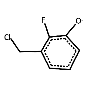 [O]c1cccc(CCl)c1F